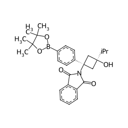 CC(C)[C@]1(O)C[C@@](c2ccc(B3OC(C)(C)C(C)(C)O3)cc2)(N2C(=O)c3ccccc3C2=O)C1